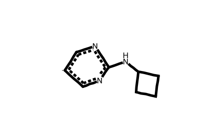 [c]1cnc(NC2CCC2)nc1